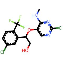 CNc1nc(Cl)ncc1OC(CO)c1cc(Cl)ccc1C(F)(F)F